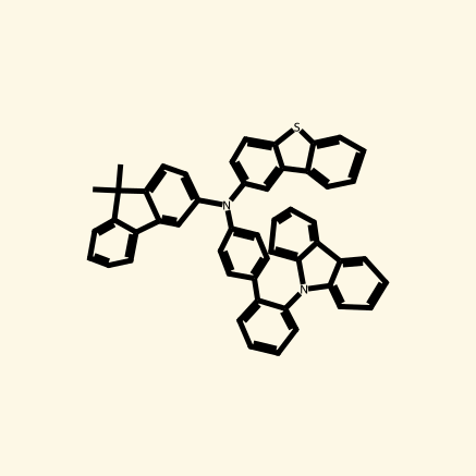 CC1(C)c2ccccc2-c2cc(N(c3ccc(-c4ccccc4-n4c5ccccc5c5ccccc54)cc3)c3ccc4sc5ccccc5c4c3)ccc21